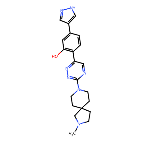 CN1CCC2(CCN(c3ncc(-c4ccc(-c5cn[nH]c5)cc4O)nn3)CC2)C1